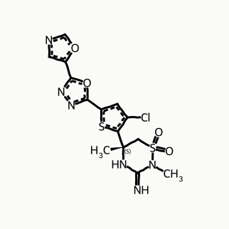 CN1C(=N)N[C@](C)(c2sc(-c3nnc(-c4cnco4)o3)cc2Cl)CS1(=O)=O